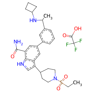 CCS(=O)(=O)N1CCC(c2c[nH]c3c(C(N)=O)cc(-c4cccc(C(C)NC5CCC5)c4)cc23)CC1.O=C(O)C(F)(F)F